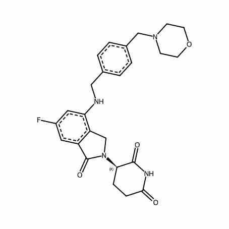 O=C1CC[C@@H](N2Cc3c(NCc4ccc(CN5CCOCC5)cc4)cc(F)cc3C2=O)C(=O)N1